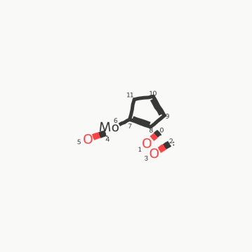 [C]=O.[C]=O.[C]=O.[Mo][C]1=CC=CC1